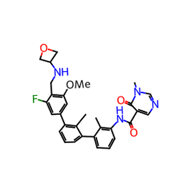 COc1cc(-c2cccc(-c3cccc(NC(=O)c4cncn(C)c4=O)c3C)c2C)cc(F)c1CNC1COC1